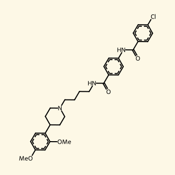 COc1ccc(C2CCN(CCCCNC(=O)c3ccc(NC(=O)c4ccc(Cl)cc4)cc3)CC2)c(OC)c1